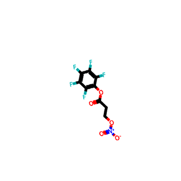 O=C(CCO[N+](=O)[O-])Oc1c(F)c(F)c(F)c(F)c1F